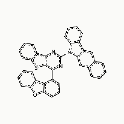 c1ccc2cc3c(cc2c1)c1ccccc1n3-c1nc(-c2cccc3oc4ccccc4c23)c2sc3ccccc3c2n1